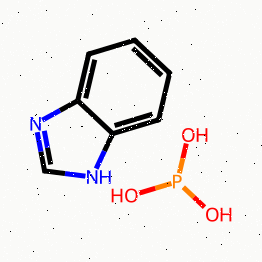 OP(O)O.c1ccc2[nH]cnc2c1